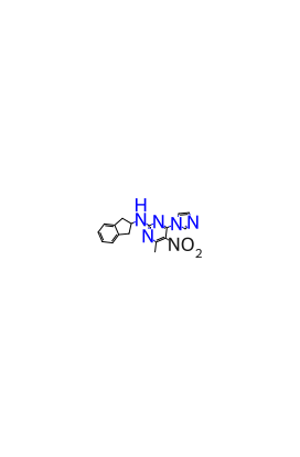 Cc1nc(NC2Cc3ccccc3C2)nc(-n2ccnc2)c1[N+](=O)[O-]